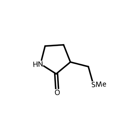 CSCC1CCNC1=O